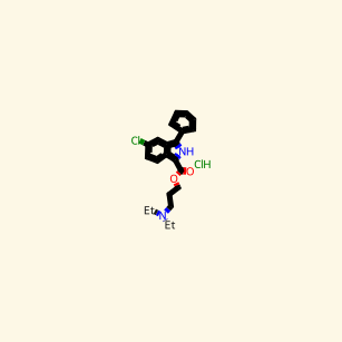 CCN(CC)CCCOC(=O)c1[nH]c(-c2ccccc2)c2cc(Cl)ccc12.Cl